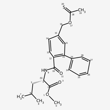 COC(=O)[C@H](CC(C)C)NC(=O)c1ccc(COC(C)=S)cc1-c1ccccc1